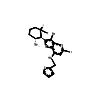 N[C@@H]1CCCC(F)(F)[C@H]1c1sc2c(NCc3cccs3)cc(Cl)nc2c1Br